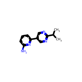 CC(C)c1ncc(-c2cccc(N)n2)cn1